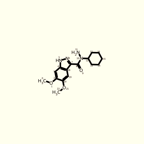 COc1cc2[nH]nc(C(=O)N(N)C3CCCCC3)c2cc1OC